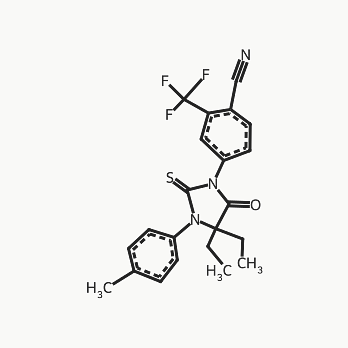 CCC1(CC)C(=O)N(c2ccc(C#N)c(C(F)(F)F)c2)C(=S)N1c1ccc(C)cc1